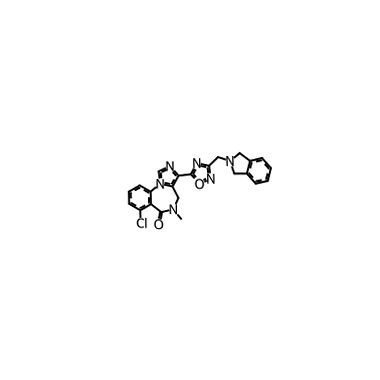 CN1Cc2c(-c3nc(CN4Cc5ccccc5C4)no3)ncn2-c2cccc(Cl)c2C1=O